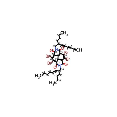 C#CC#CC#CC(CCCC)CN1C(=O)c2c(Br)c(Br)c3c4c(c(Br)c(Br)c(c24)C1=O)C(=O)N(CC(CCCC)CCCCCC)C3=O